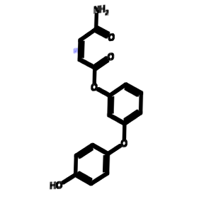 NC(=O)/C=C\C(=O)Oc1cccc(Oc2ccc(O)cc2)c1